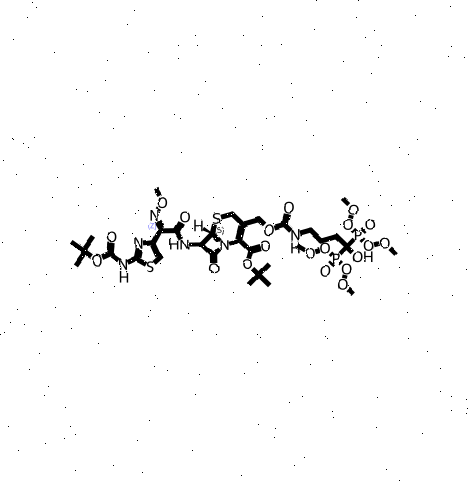 CO/N=C(\C(=O)NC1C(=O)N2C(C(=O)OC(C)(C)C)=C(COC(=O)NCCCC(O)(P(=O)(OOC)OOC)P(=O)(OOC)OOC)CS[C@@H]12)c1csc(NC(=O)OC(C)(C)C)n1